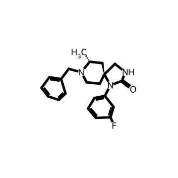 C[C@@H]1C[C@@]2(CCN1Cc1ccccc1)CNC(=O)N2c1cccc(F)c1